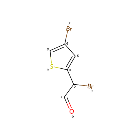 O=CC(Br)c1cc(Br)cs1